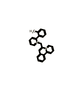 Cc1ccccc1-c1cccc[n+]1Cc1cc2ccccc2c2cccc[n+]12